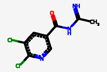 CC(=N)NC(=O)c1cnc(Cl)c(Cl)c1